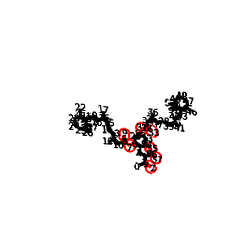 CC(=O)c1cc2c(OC(=O)C=C(C)C=CC=C(C)C=CC3=C(C)CCCC3(C)C)cc(OC(=O)C=C(C)C=CC=C(C)C=CC3=C(C)CCCC3(C)C)cc2oc1=O